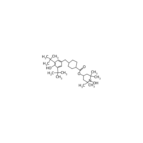 CC(C)(C)c1cc(CC2CCC(C(=O)OC3CC(C)(C)N(O)C(C)(C)C3)CC2)cc(C(C)(C)C)c1O